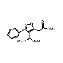 COC(=O)Cc1onc(-c2ccccc2)c1C(OC)OC